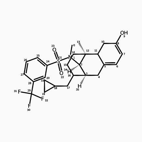 CN([C@@H]1[C@H]2CC3=CC=C(O)CC3[C@]1(C)CCC2CC1CC1)S(=O)(=O)c1cccc(C(F)(F)F)c1